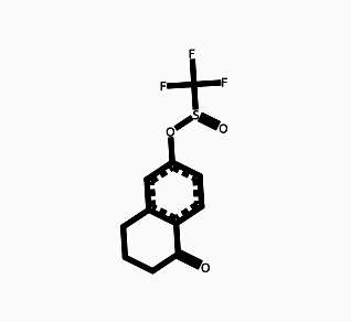 O=C1CCCc2cc(OS(=O)C(F)(F)F)ccc21